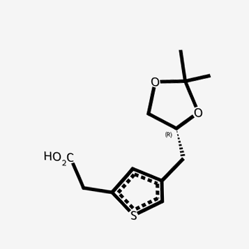 CC1(C)OC[C@@H](Cc2csc(CC(=O)O)c2)O1